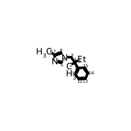 CCC(C)(Cn1cnc(C)c1)c1ccccc1